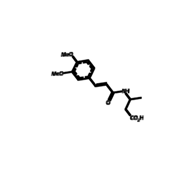 COc1ccc(/C=C/C(=O)NC(C)CC(=O)O)cc1OC